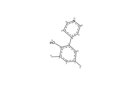 Cc1cc(C)c(O)c(-c2ccncc2)c1